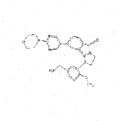 COc1ccc(CN)cc1C1CCn2c(=O)c3ccc(-c4cnc(N5CCOCC5)nc4)cc3n21